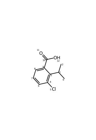 CC(C)c1c(Cl)cccc1C(=O)O